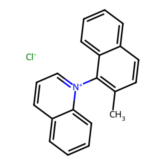 Cc1ccc2ccccc2c1-[n+]1cccc2ccccc21.[Cl-]